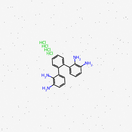 Cl.Cl.Cl.Cl.Nc1cccc(-c2ccccc2-c2cccc(N)c2N)c1N